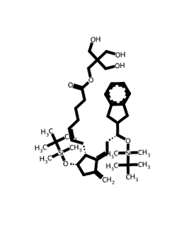 C=C1C[C@H](O[Si](C)(C)C(C)(C)C)[C@H](C/C=C\CCCC(=O)OCC(CO)(CO)CO)/C1=C\C[C@@H](O[Si](C)(C)C(C)(C)C)C1Cc2ccccc2C1